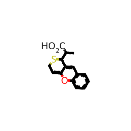 CC(C(=O)O)C1SCC=C2Oc3ccccc3C=C21